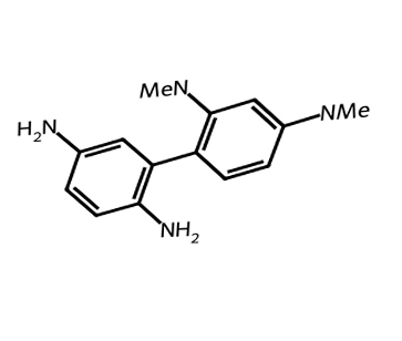 CNc1ccc(-c2cc(N)ccc2N)c(NC)c1